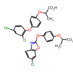 CC(Oc1ccc(Oc2ccc(Cl)cc2Cl)cc1)C(=O)O.CC(Oc1ccc(Oc2nc3ccc(Cl)cc3o2)cc1)C(=O)O